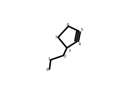 CCCC1C#CCC1